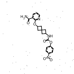 NC(=O)c1cccnc1OC1CC2(CC(NC(=O)Oc3ccc([N+](=O)[O-])cc3)C2)C1